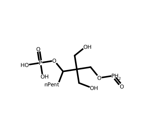 CCCCCC(OP(=O)(O)O)C(CO)(CO)CO[PH2]=O